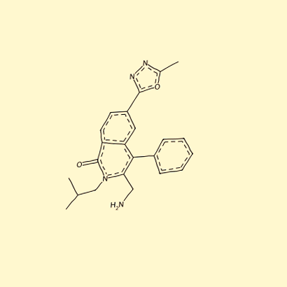 Cc1nnc(-c2ccc3c(=O)n(CC(C)C)c(CN)c(-c4ccccc4)c3c2)o1